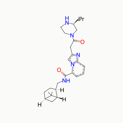 CC(C)[C@H]1CN(C(=O)Cc2cn3c(C(=O)NC[C@@H]4CC[C@@H]5C[C@@H]4C5(C)C)cccc3n2)CCN1